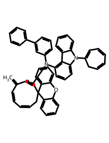 C=C1/C=C\C=C/CC2(c3ccccc3Oc3ccccc32)c2cc(N(c3cccc(-c4ccccc4)c3)c3cccc4c3c3ccccc3n4C3=CC=CC=CC3)ccc21